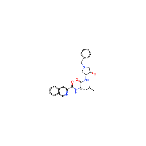 CC(C)C[C@H](NC(=O)c1cc2ccccc2cn1)C(=O)NC1CN(Cc2ccccc2)CC1=O